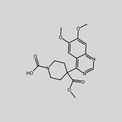 COC(=O)C1(c2ncnc3cc(OC)c(OC)cc23)CCN(C(=O)O)CC1